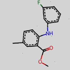 COC(=O)c1cc(C)ccc1Nc1cccc(F)c1